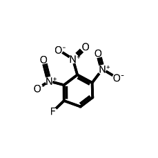 O=[N+]([O-])c1ccc(F)c([N+](=O)[O-])c1[N+](=O)[O-]